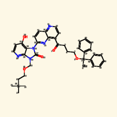 CC(C)(C)[Si](OCCCC(=O)c1ccnc2ccc(-n3c(=O)n(COCC[Si](C)(C)C)c4nccc(O)c43)nc12)(c1ccccc1)c1ccccc1